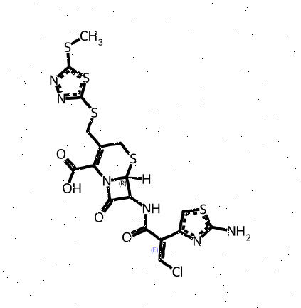 CSc1nnc(SCC2=C(C(=O)O)N3C(=O)C(NC(=O)/C(=C/Cl)c4csc(N)n4)[C@H]3SC2)s1